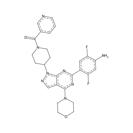 Nc1cc(F)c(-c2nc(N3CCOCC3)c3cnn(C4CCN(C(=O)c5cccnc5)CC4)c3n2)cc1F